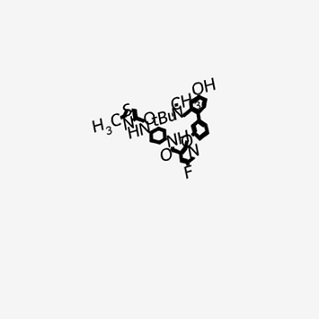 Cc1nc(C(=O)N[C@H]2CC[C@@H](NC(=O)c3cc(F)cnc3Oc3cccc(-c4ccc(O)cc4CN(C)C(C)(C)C)c3)CC2)cs1